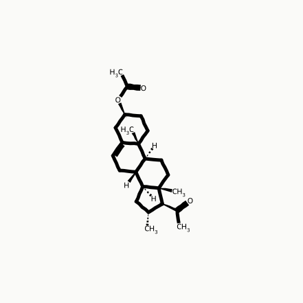 CC(=O)O[C@H]1CC[C@@]2(C)C(=CC[C@H]3[C@@H]4C[C@@H](C)[C@H](C(C)=O)[C@@]4(C)CC[C@@H]32)C1